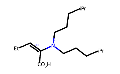 CC/C=C(\C(=O)O)N(CCCC(C)C)CCCC(C)C